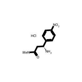 CNC(=O)C[C@@H](N)c1ccc([N+](=O)[O-])cc1.Cl